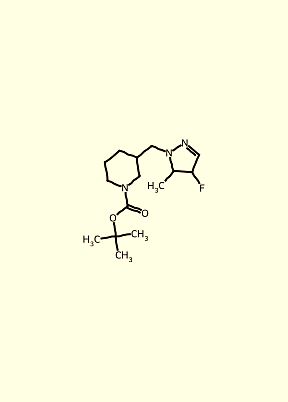 CC1C(F)C=NN1CC1CCCN(C(=O)OC(C)(C)C)C1